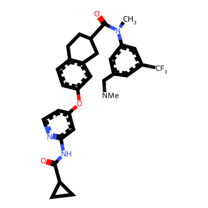 CNCc1cc(N(C)C(=O)C2CCc3ccc(Oc4ccnc(NC(=O)C5CC5)c4)cc3C2)cc(C(F)(F)F)c1